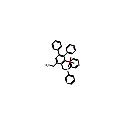 CC(C)(C)c1c(CP(c2cccnc2)c2cccnc2)c(CP)cc(-c2ccccc2)c1-c1ccccc1